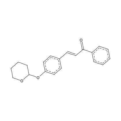 O=C(C=Cc1ccc(OC2CCCCO2)cc1)c1ccccc1